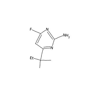 CCC(C)(C)c1cc(F)nc(N)n1